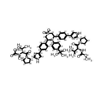 COC(=O)N[C@H](C(=O)N1CCC[C@H]1c1nc(-c2ccc(C3CS(=O)(=O)CC(c4ccc(-c5c[nH]c([C@@H]6CCCN6C(=O)[C@H](C(C)C)N(C)C(=O)O)n5)cc4)N3c3ccc(C(C)(C)C)cc3)cc2)c[nH]1)C(C)C